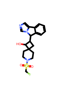 O=S(=O)(CF)N1CCC2(CC1)CC(C1c3ccccc3-c3cncn31)C2O